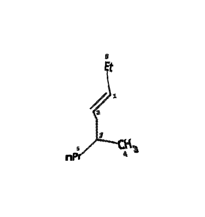 CC/C=C/C(C)CCC